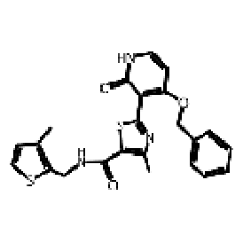 Cc1ccsc1CNC(=O)c1sc(-c2c(OCc3ccccc3)cc[nH]c2=O)nc1C